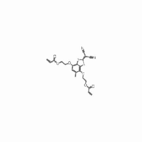 C=CC(=O)OCCOc1cc(C)c(OCCOC(=O)C=C)c2c1SC(=C(C#N)C#N)S2